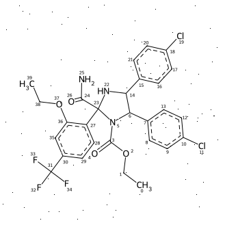 CCOC(=O)N1C(c2ccc(Cl)cc2)C(c2ccc(Cl)cc2)NC1(C(N)=O)c1ccc(C(F)(F)F)cc1OCC